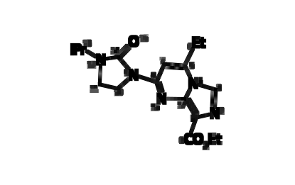 CCOC(=O)c1ncn2c(CC)cc(N3CCN(C(C)C)C3=O)nc12